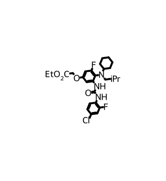 CCOC(=O)COc1cc(F)c(N(CC(C)C)C2CCCCC2)c(NC(=O)Nc2ccc(Cl)cc2F)c1